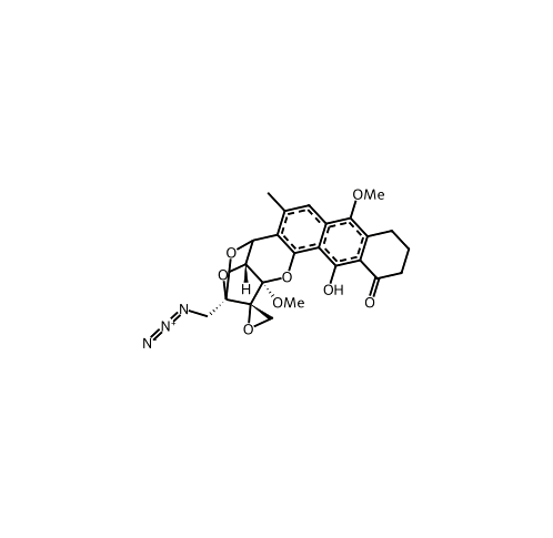 COc1c2c(c(O)c3c4c(c(C)cc13)C1O[C@]3(CN=[N+]=[N-])O[C@H]1[C@@](OC)(O4)[C@@]31CO1)C(=O)CCC2